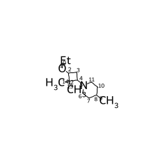 CCOC1CC(N2CCC(C)CC2)C1(C)C